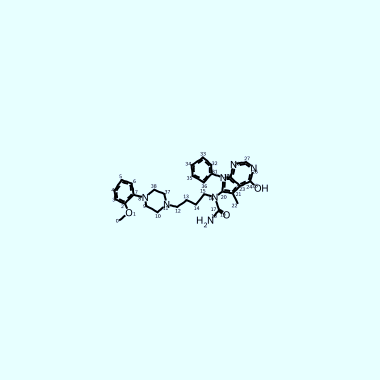 COc1ccccc1N1CCN(CCCCN(C(N)=O)c2c(C)c3c(O)ncnc3n2-c2ccccc2)CC1